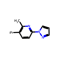 Cc1nc(-n2cccn2)ccc1C(C)C